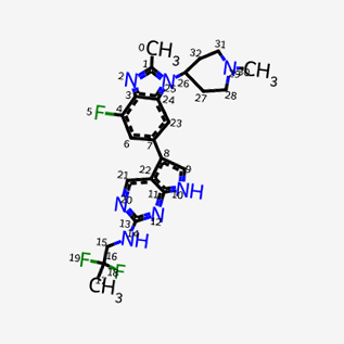 Cc1nc2c(F)cc(-c3c[nH]c4nc(NCC(C)(F)F)ncc34)cc2n1C1CCN(C)CC1